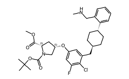 CNCc1ccccc1[C@H]1CC[C@H](Cc2cc(O[C@H]3C[C@@H](C(=O)OC)N(C(=O)OC(C)(C)C)C3)cc(F)c2Cl)CC1